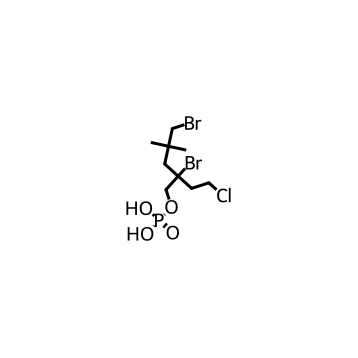 CC(C)(CBr)CC(Br)(CCCl)COP(=O)(O)O